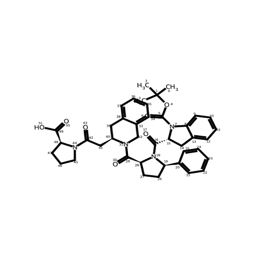 CC(C)(C)OC(=O)N1c2ccccc2C[C@@H]1C(=O)N1[C@@H](c2ccccc2)CC[C@H]1C(=O)N1Cc2ccccc2C[C@@H]1CC(=O)N1CCC[C@H]1C(=O)O